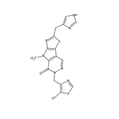 Cn1c2nc(Cc3c[nH]cn3)sc2c2cnn(Cc3ncsc3Cl)c(=O)c21